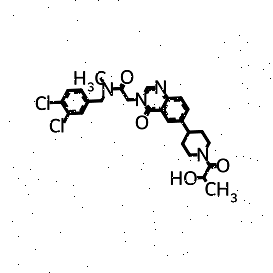 CC(O)C(=O)N1CCC(c2ccc3ncn(CC(=O)N(C)Cc4ccc(Cl)c(Cl)c4)c(=O)c3c2)CC1